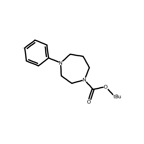 CC(C)(C)OC(=O)N1CCCN(c2cc[c]cc2)CC1